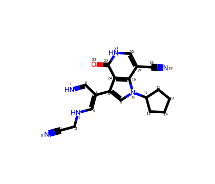 N#CCN/C=C(\C=N)c1cn(C2CCCC2)c2c(C#N)c[nH]c(=O)c12